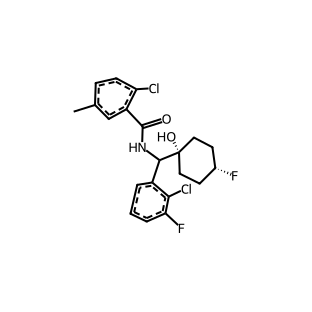 Cc1ccc(Cl)c(C(=O)NC(c2cccc(F)c2Cl)[C@]2(O)CC[C@@H](F)CC2)c1